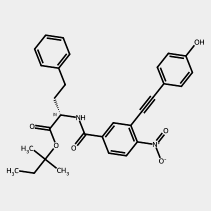 CCC(C)(C)OC(=O)[C@H](CCc1ccccc1)NC(=O)c1ccc([N+](=O)[O-])c(C#Cc2ccc(O)cc2)c1